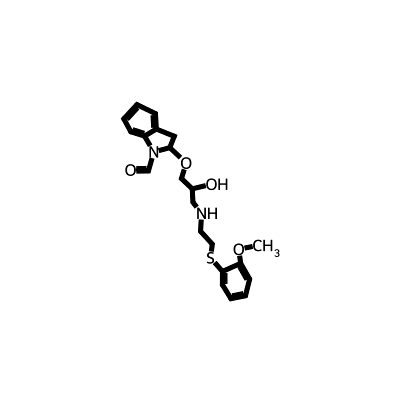 COc1ccccc1SCCNCC(O)COC1Cc2ccccc2N1C=O